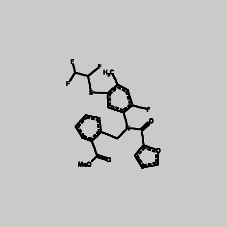 COC(=O)c1ccccc1CN(C(=O)c1ccco1)c1cc(SC(F)C(F)F)c(C)cc1F